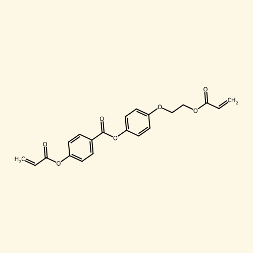 C=CC(=O)OCCOc1ccc(OC(=O)c2ccc(OC(=O)C=C)cc2)cc1